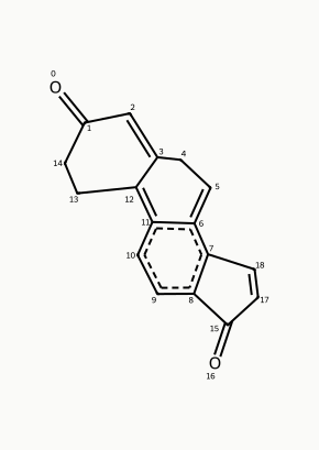 O=C1C=C2CC=c3c4c(ccc3=C2CC1)C(=O)C=C4